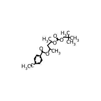 CCc1ccc(C(=O)OC(C)CC(C)OC(=O)OCC(C)(C)C)cc1